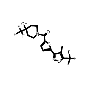 Cc1c(-c2ccc(C(=O)N3CCC(O)(C(F)(F)F)CC3)s2)noc1C(F)(F)F